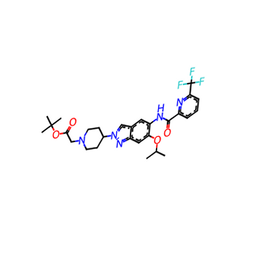 CC(C)Oc1cc2nn(C3CCN(CC(=O)OC(C)(C)C)CC3)cc2cc1NC(=O)c1cccc(C(F)(F)F)n1